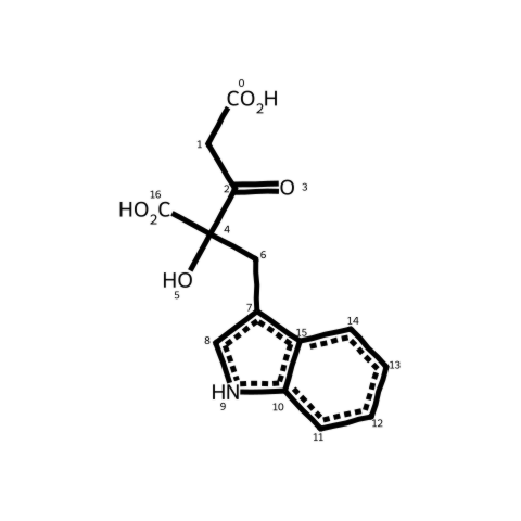 O=C(O)CC(=O)C(O)(Cc1c[nH]c2ccccc12)C(=O)O